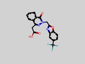 O=C(O)Cc1nn(Cc2nc3cc(C(F)(F)F)ccc3o2)c(=O)c2ccccc12